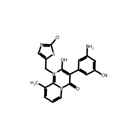 Bc1cc(C#N)cc(-c2c(O)[n+](Cc3cnc(Cl)s3)c3c(C)cccn3c2=O)c1